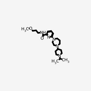 COCCCNC(=O)c1cccc(N2CCCN(C3CCN(C(C)C)CC3)CC2)n1